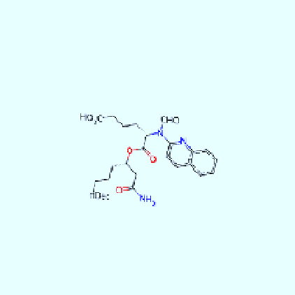 CCCCCCCCCCCCC[C@@H](CC(N)=O)OC(=O)[C@H](CCCC(=O)O)N(C=O)c1ccc2ccccc2n1